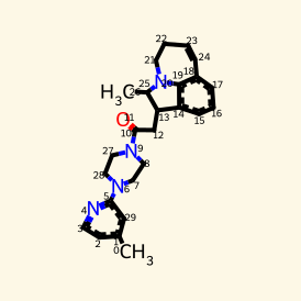 Cc1ccnc(N2CCN(C(=O)CC3c4cccc5c4N(CCC=C5)C3C)CC2)c1